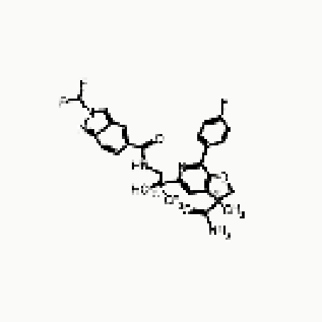 C[C@]1(C(N)=O)COc2c1cc([C@@](O)(CNC(=O)c1ccc3nn(C(F)F)cc3c1)C(F)(F)F)nc2-c1ccc(F)cc1